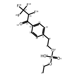 CCOP(=O)(O)OCCc1ccc(C(=O)C(F)C(F)(F)F)cc1